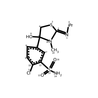 CC(C)/N=C1\SCC(O)(c2ccc(Cl)c(S(N)(=O)=O)c2)N1C